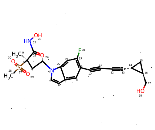 C[C@@](CCn1ccc2cc(C#CC#C[C@@H]3C[C@H]3CO)c(F)cc21)(C(=O)NO)S(C)(=O)=O